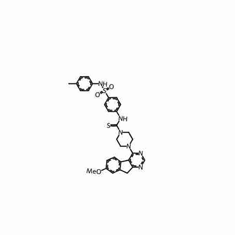 COc1ccc2c(c1)Cc1ncnc(N3CCN(C(=S)Nc4ccc(S(=O)(=O)Nc5ccc(C)cc5)cc4)CC3)c1-2